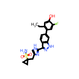 CCc1cc(O)c(F)cc1-c1ccc2c(-c3nc(CC4(S(N)(=O)=O)CC4)c[nH]3)n[nH]c2c1